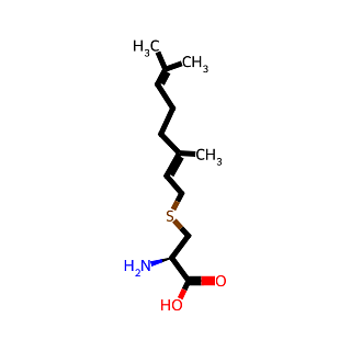 CC(C)=CCC/C(C)=C/CSC[C@H](N)C(=O)O